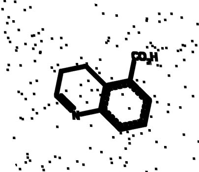 O=C(O)c1cccc2c1CCC=N2